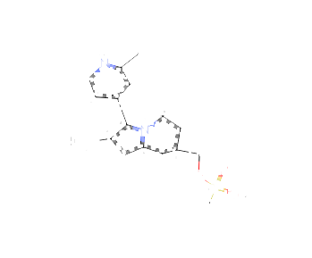 Cc1cc(-c2c(C(=O)O)cc3cc(COS(C)(=O)=O)ccn23)ccn1